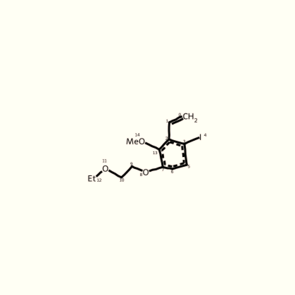 C=Cc1c(I)ccc(OCCOCC)c1OC